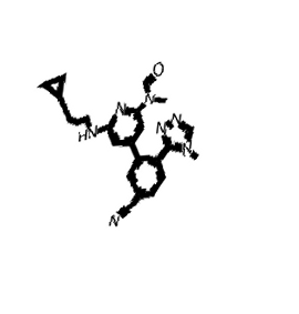 CN(C=O)c1cc(-c2cc(C#N)ccc2-c2nncn2C)cc(NCCC2CC2)n1